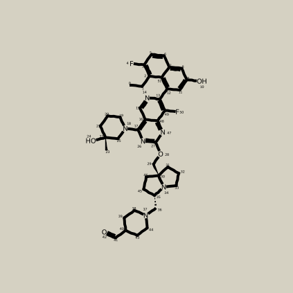 CCc1c(F)ccc2cc(O)cc(-c3ncc4c(N5CCC[C@@](C)(O)C5)nc(OC[C@@]56CCCN5[C@H](CN5CCC(C=O)CC5)CC6)nc4c3F)c12